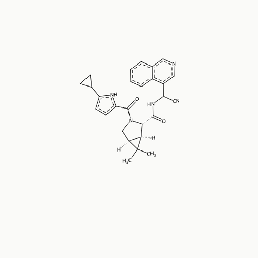 CC1(C)[C@@H]2[C@@H](C(=O)NC(C#N)c3cncc4ccccc34)N(C(=O)c3ccc(C4CC4)[nH]3)C[C@@H]21